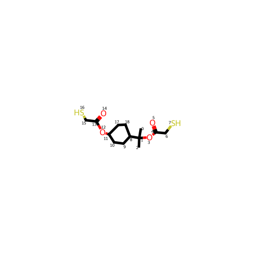 CC(C)(OC(=O)CS)C1CCC(OC(=O)CS)CC1